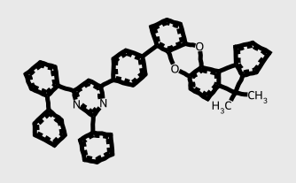 CC1(C)c2ccccc2-c2c1ccc1c2Oc2cccc(-c3ccc(-c4cc(-c5ccccc5-c5ccccc5)nc(-c5ccccc5)n4)cc3)c2O1